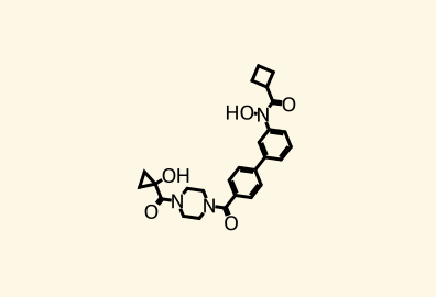 O=C(c1ccc(-c2cccc(N(O)C(=O)C3CCC3)c2)cc1)N1CCN(C(=O)C2(O)CC2)CC1